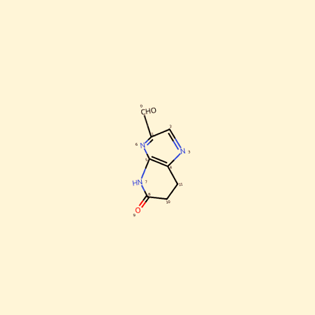 O=Cc1cnc2c(n1)NC(=O)CC2